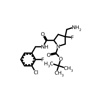 CC(C)(C)OC(=O)N1CC(F)(CN)CC1C(=O)NCc1cccc(Cl)c1F